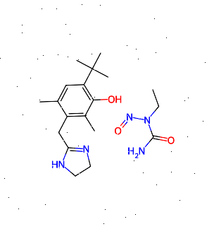 CCN(N=O)C(N)=O.Cc1cc(C(C)(C)C)c(O)c(C)c1CC1=NCCN1